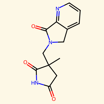 CC1(CN2Cc3cccnc3C2=O)CC(=O)NC1=O